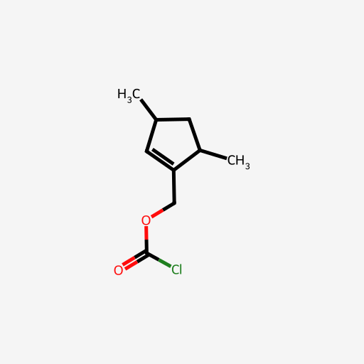 CC1C=C(COC(=O)Cl)C(C)C1